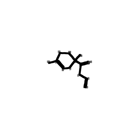 C=CCC(=O)C1(C)CC=C(C)CC1